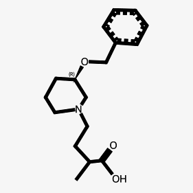 CC(CCN1CCC[C@@H](OCc2ccccc2)C1)C(=O)O